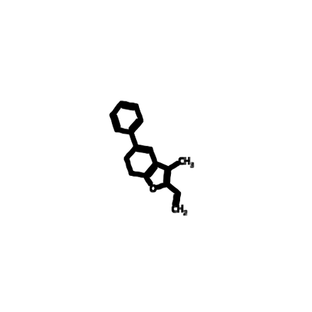 C=Cc1oc2c(c1C)C=C(c1ccccc1)CC2